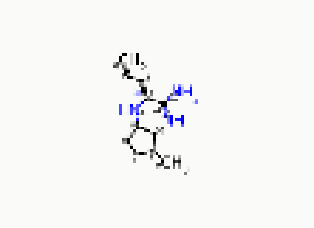 C=C/C=C(\NC1CCC(C)C1)C(=N)N